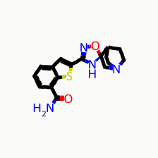 NC(=O)c1cccc2cc(C3=NO[C@]4(CN5CCC4CC5)N3)sc12